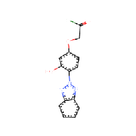 O=C(Cl)COc1ccc(-n2nc3ccccc3n2)c(O)c1